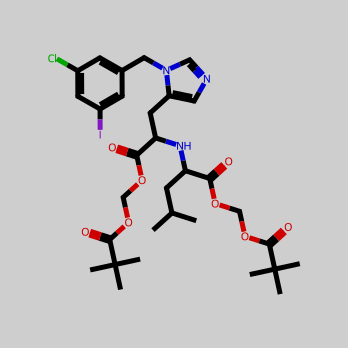 CC(C)CC(NC(Cc1cncn1Cc1cc(Cl)cc(I)c1)C(=O)OCOC(=O)C(C)(C)C)C(=O)OCOC(=O)C(C)(C)C